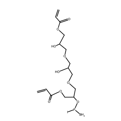 BP(I)OC(COCC(O)COCC(O)COC(=O)C=C)COC(=O)C=C